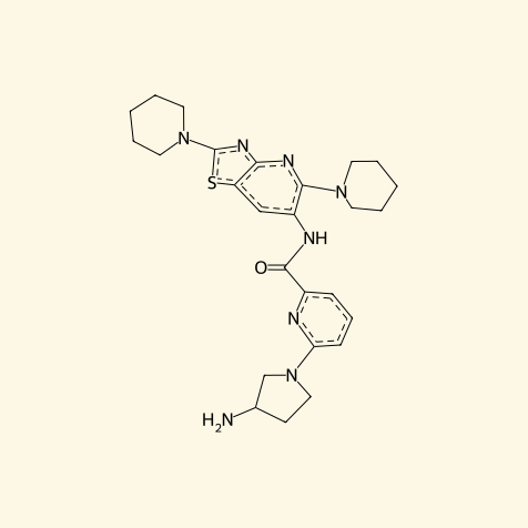 NC1CCN(c2cccc(C(=O)Nc3cc4sc(N5CCCCC5)nc4nc3N3CCCCC3)n2)C1